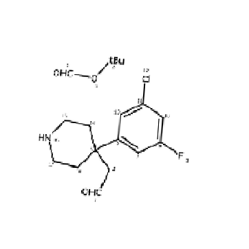 CC(C)(C)OC=O.O=CCC1(c2cc(F)cc(Cl)c2)CCNCC1